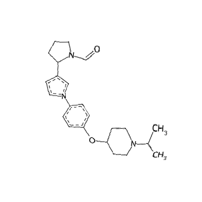 CC(C)N1CCC(Oc2ccc(-n3ccc(C4CCCN4C=O)c3)cc2)CC1